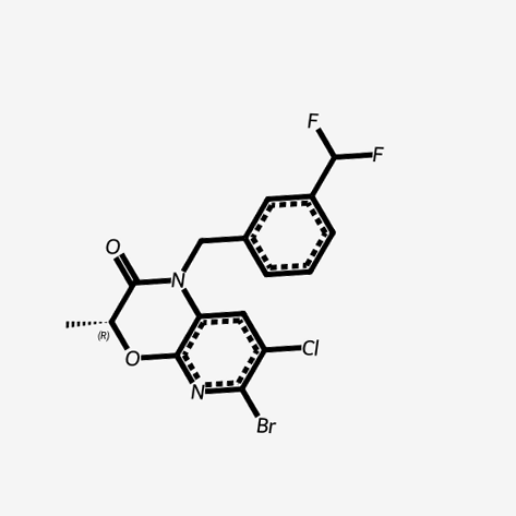 C[C@H]1Oc2nc(Br)c(Cl)cc2N(Cc2cccc(C(F)F)c2)C1=O